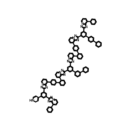 C1=CC(c2cc(-c3nc4c(-c5ccccc5)cccn4n3)cc(-c3nc4c(-c5ccc(-c6ccccc6-c6cccn7nc(-c8cc(-c9cccc(-c%10ccccc%10)c9)cc(-c9nc%10c(-c%11ccccc%11-c%11ccc(-c%12cccn%13nc(-c%14cc(-c%15ccc(-c%16ccccc%16)cc%15)cc(-c%15nc%16c(-c%17ccccc%17)cccn%16n%15)c%14)nc%12%13)cc%11)cccn%10n9)c8)nc67)cc5)cccn4n3)c2)=CCN1